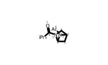 CC(=O)N1C2CC1N(C(=O)C(C)C)C2